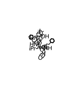 CC(C)C[C@H](NC[C@@H](CCc1ccccc1)NC(=O)CN1CCOCC1)C(=O)N[C@@H](Cc1ccccc1)C(=O)N[C@@H](CC(C)C)C(=O)[C@](C)(O)CI